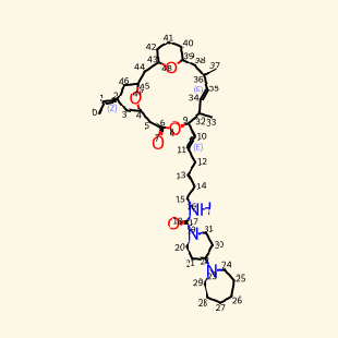 C/C=C1\CC2CC(=O)OC(/C=C/CCCCNC(=O)N3CCC(N4CCCCCC4)CC3)C(C)/C=C/C(C)CC3CCCC(CC(C1)O2)O3